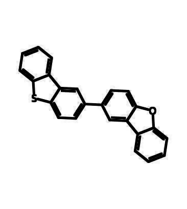 c1ccc2c(c1)oc1ccc(-c3ccc4sc5ccccc5c4c3)cc12